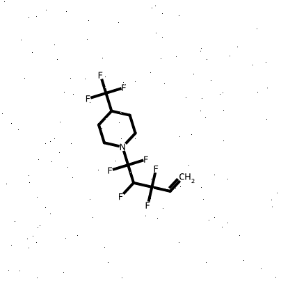 C=CC(F)(F)C(F)C(F)(F)N1CCC(C(F)(F)F)CC1